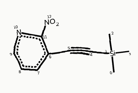 C[Si](C)(C)C#Cc1cccnc1[N+](=O)[O-]